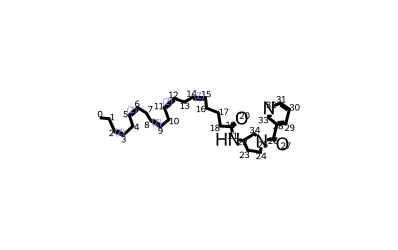 CC/C=C\C/C=C\C/C=C\C/C=C\C/C=C\CCCC(=O)NC1CCN(C(=O)c2cccnc2)C1